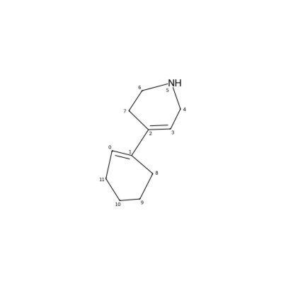 C1=C(C2=CCNCC2)CCCC1